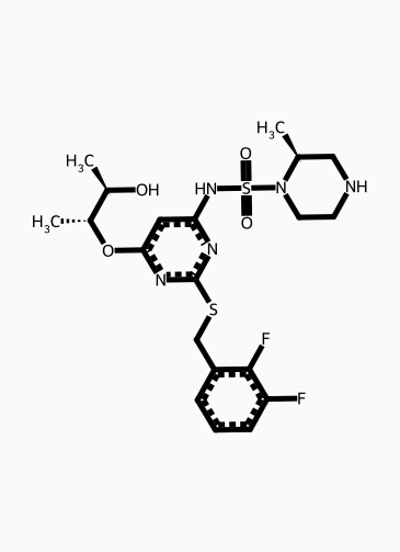 C[C@@H](O)[C@@H](C)Oc1cc(NS(=O)(=O)N2CCNC[C@@H]2C)nc(SCc2cccc(F)c2F)n1